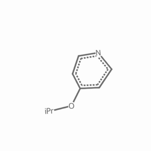 CC(C)Oc1ccncc1